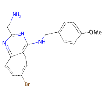 COc1ccc(CNc2nc(CN)nc3ccc(Br)cc23)cc1